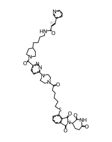 O=C(/C=C/c1cccnc1)NCCCCC1CCN(C(=O)c2ccc(N3CCN(C(=O)CCCCCSc4cccc5c4C(=O)N(C4CCC(=O)NC4=O)C5=O)CC3)nn2)CC1